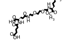 CCCC[C@H](NC(=O)COCCOCCNC(=O)CC[C@H](NC(=O)CCCC(=O)O)C(=O)O)C(C)=O